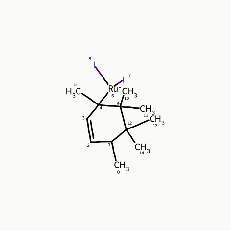 CC1C=C[C](C)([Ru-]([I])[I])C(C)(C)C1(C)C